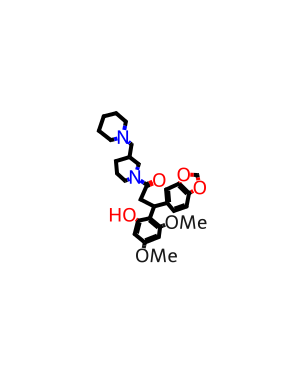 COc1cc(O)c(C(CC(=O)N2CCCC(CN3CCCCC3)C2)c2ccc3c(c2)OCO3)c(OC)c1